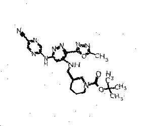 Cc1nnc(-c2nnc(Nc3cnc(C#N)cn3)cc2NCC2CCCN(C(=O)OC(C)(C)C)C2)o1